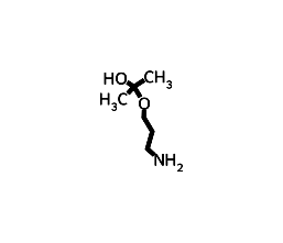 CC(C)(O)OCCCN